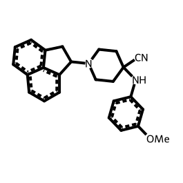 COc1cccc(NC2(C#N)CCN(C3Cc4cccc5cccc3c45)CC2)c1